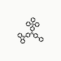 c1ccc(-c2ccc(N(c3ccc(-n4c5ccccc5c5ccccc54)cc3)c3ccc([Si](c4ccccc4)(c4ccccc4)c4ccccc4)cc3)cc2)cc1